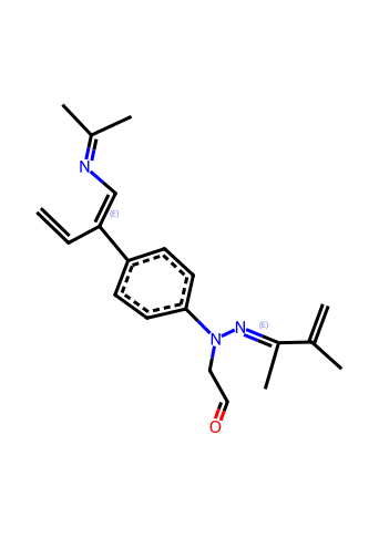 C=C/C(=C\N=C(C)C)c1ccc(N(CC=O)/N=C(\C)C(=C)C)cc1